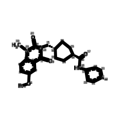 CCOc1ccc2c(c1)c(=O)n(C[C@H]1CC[C@H](C(=O)Nc3ccncc3)CC1)c(=O)n2C